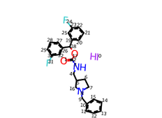 I.O=C(NCC1CCN(Cc2ccccc2)C1)OC(c1cccc(F)c1)c1cccc(F)c1